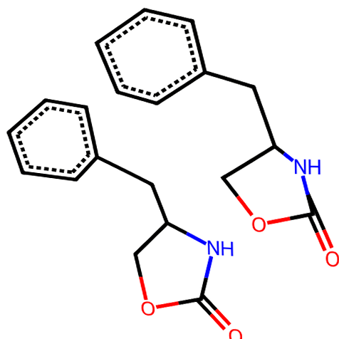 O=C1NC(Cc2ccccc2)CO1.O=C1NC(Cc2ccccc2)CO1